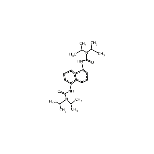 CC(C)N(C(=O)Nc1cccc2c(NC(=O)N(C(C)C)C(C)C)cccc12)C(C)C